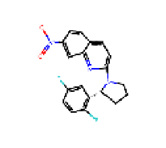 O=[N+]([O-])c1ccc2ccc(N3CCC[C@@H]3c3cc(F)ccc3F)nc2c1